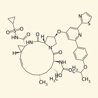 CC[C@@H]1C[C@H](C)CC/C=C\[C@@H]2C[C@@]2(C(=O)NS(=O)(=O)C2CC2)NC(=O)[C@@H]2C[C@@H](Oc3cc(-c4ccc(OC(C)C)cc4)nc(-c4nccs4)c3)CN2C(=O)[C@H]1NC(=O)O